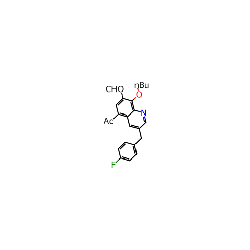 CCCCOc1c(C=O)cc(C(C)=O)c2cc(Cc3ccc(F)cc3)cnc12